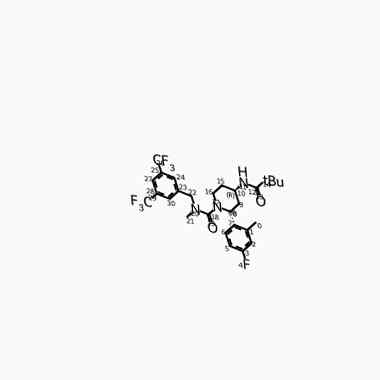 Cc1cc(F)ccc1[C@H]1C[C@H](NC(=O)C(C)(C)C)CCN1C(=O)N(C)Cc1cc(C(F)(F)F)cc(C(F)(F)F)c1